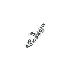 CC(C)c1ccccc1[C@H]1CC(Cc2ccccc2)CC[C@H]1N1CC2(CCN(c3ccc(C(=O)NS(=O)(=O)c4cc5c(c([N+](=O)[O-])c4)N[C@@H](C4CCC(C)(C)CC4)CO5)c(Oc4cnc5[nH]cc(F)c5c4)c3)CC2)C1